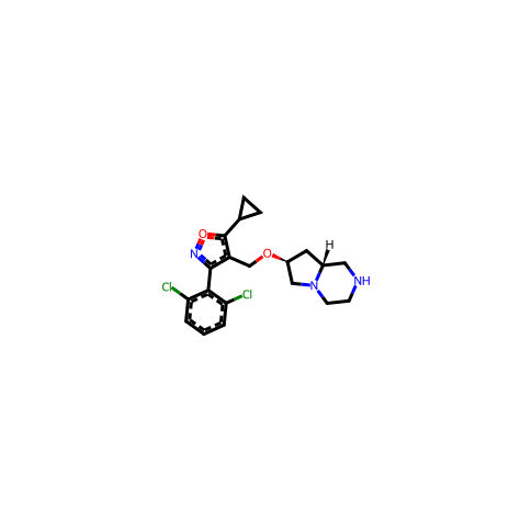 Clc1cccc(Cl)c1-c1noc(C2CC2)c1CO[C@H]1C[C@@H]2CNCCN2C1